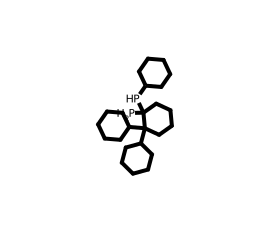 PC1(PC2CCCCC2)CCCCC1(C1CCCCC1)C1CCCCC1